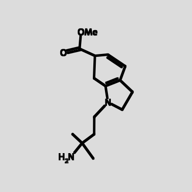 COC(=O)C1C=CC2=C(C1)N(CCC(C)(C)N)CC2